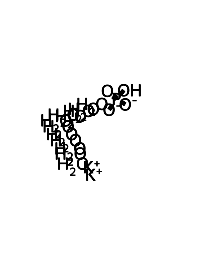 O.O.O.O.O.O.O.O.O.O.O.O.O=P([O-])([O-])O.[K+].[K+]